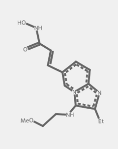 CCc1nc2ccc(C=CC(=O)NO)cn2c1NCCOC